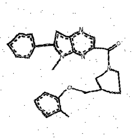 Cc1ccccc1OCC1CCCN(C(=O)c2cnc3cc(-c4ccccc4)n(C)c3n2)C1